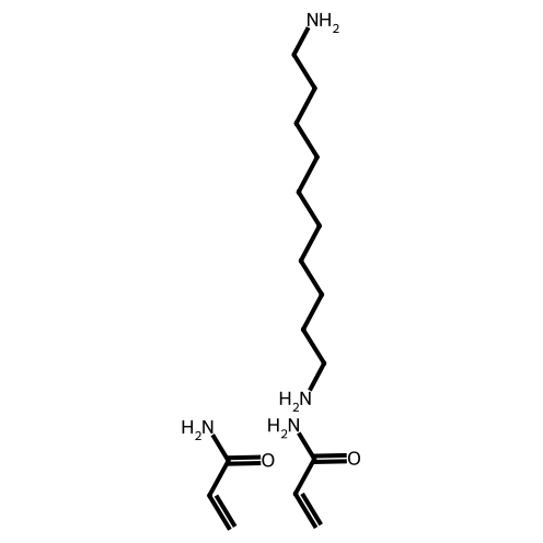 C=CC(N)=O.C=CC(N)=O.NCCCCCCCCCCN